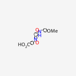 COc1ccc(CNC(=O)C2=CCC3=CN(C(=O)c4ccc(C(=O)O)cc4)CC3=C2)cc1